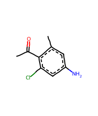 CC(=O)c1c(C)cc(N)cc1Cl